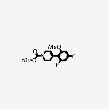 COc1cc(F)cc(F)c1C1=CCN(C(=O)OC(C)(C)C)CC1